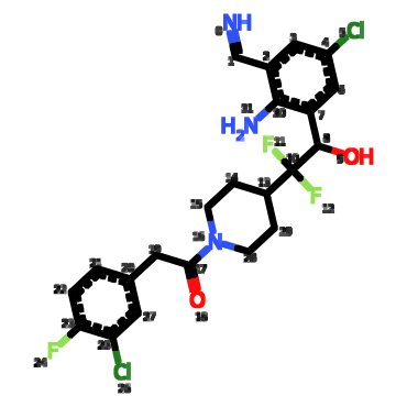 N=Cc1cc(Cl)cc(C(O)C(F)(F)C2CCN(C(=O)Cc3ccc(F)c(Cl)c3)CC2)c1N